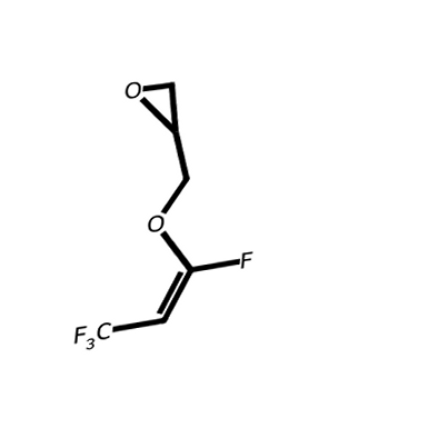 F/C(=C/C(F)(F)F)OCC1CO1